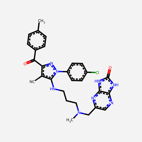 Cc1ccc(C(=O)c2nn(-c3ccc(Cl)cc3)c(NCCCN(C)Cc3cnc4[nH]c(=O)[nH]c4n3)c2C#N)cc1